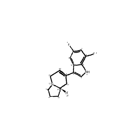 Fc1cc(F)c2[nH]cc(C3=CCN4CCC[C@H]4C3)c2c1